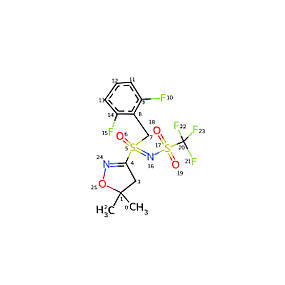 CC1(C)CC(S(=O)(Cc2c(F)cccc2F)=NS(=O)(=O)C(F)(F)F)=NO1